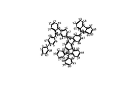 c1ccc(-c2ccc(-n3c4ccccc4c4ccc(-n5c6ccc([Si](c7ccccc7)(c7ccccc7)c7ccccc7)cc6c6ccc(-n7c8ccccc8c8ccccc87)cc65)cc43)cc2)cc1